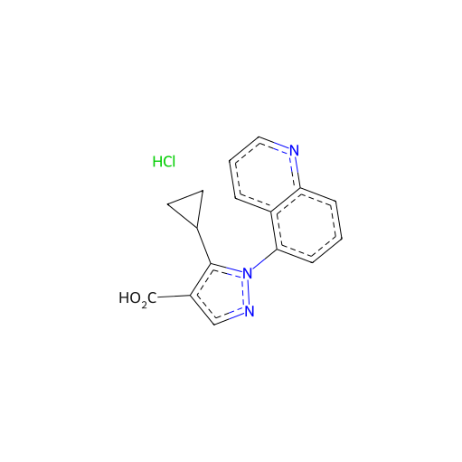 Cl.O=C(O)c1cnn(-c2cccc3ncccc23)c1C1CC1